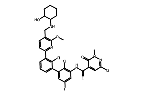 COc1nc(-c2cccc(-c3cc(F)cc(NC(=O)c4cc(Cl)nn(C)c4=O)c3Cl)c2Cl)ccc1CNC1CCCCC1O